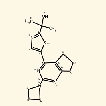 CC(C)(O)c1ncc(-c2nc(N3CCC3)nc3c2CCC3)s1